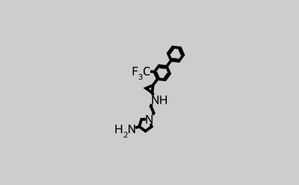 NC1CCN(CCNC2CC2c2ccc(-c3ccccc3)cc2C(F)(F)F)C1